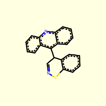 [C]1=NSc2ccccc2C1c1c2ccccc2nc2ccccc12